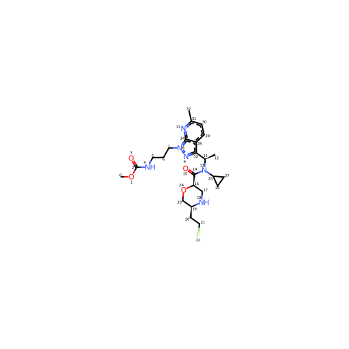 COC(=O)NCCCn1nc([C@@H](C)N(C(=O)[C@H]2CN[C@@H](CCF)CO2)C2CC2)c2ccc(C)nc21